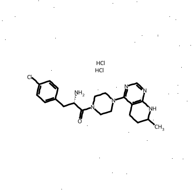 CC1CCc2c(ncnc2N2CCN(C(=O)[C@@H](N)Cc3ccc(Cl)cc3)CC2)N1.Cl.Cl